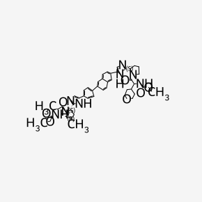 COC(=O)NC(C)C(=O)N1C[C@H](C)C[C@H]1c1ncc(-c2ccc(-c3ccc4cc(-c5cnc([C@@H]6CCCN6C(=O)C(NC(=O)OC)C6CCOCC6)[nH]5)ccc4c3)cc2)[nH]1